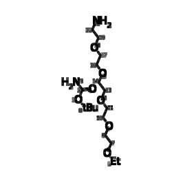 CC(C)(C)OC(N)=O.CCOCCOCCOCCOCCOCCN